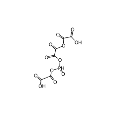 O=C(O)C(=O)OC(=O)C(=O)O[PH](=O)OC(=O)C(=O)O